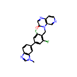 Cn1cnc2ccc(-c3cc(F)c(Cn4c(=O)cnc5ccncc54)c(F)c3)cc21